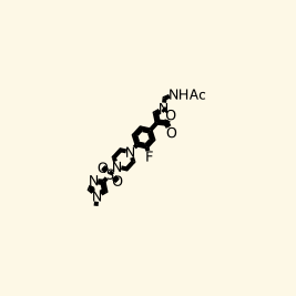 CC(=O)NCn1cc(-c2ccc(N3CCN(S(=O)(=O)c4cn(C)cn4)CC3)c(F)c2)c(=O)o1